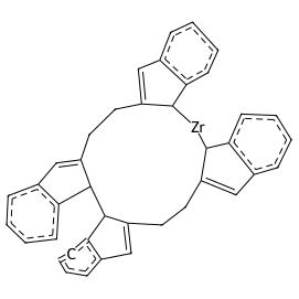 C1=C2CCC3=Cc4ccccc4C3C3C(=Cc4ccccc43)CCC3=Cc4ccccc4[CH]3[Zr][CH]2c2ccccc21